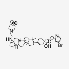 CC1(C)C(C2=CCC(CCOc3cc(Br)ccn3)(C(=O)O)CC2)=CCC2(C)C1CCC1(C)C2CCC2[C@H]3CCCC3(NCCN3CCS(=O)(=O)CC3)CC[C@]21C